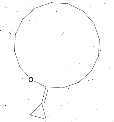 C1CCCCCCCC(=C2CC2)OCCCCCC1